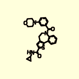 O=C(NC1CC1)c1cc2c(s1)-c1ccccc1N(C(=O)c1cccc(N3CCOCC3)c1)CC2